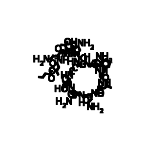 CCCC(=O)OC(C)CC(=O)N[C@@H](CCN)C(=O)N[C@H](C(=O)N[C@@H](CCN)C(=O)N[C@H]1CCNC(=O)[C@H]([C@H](C)O)NC(=O)[C@H](CCN)NC(=O)[C@H](CCN)NC(=O)[C@H](CC(C)C)NC(=O)[C@@H](Cc2ccccc2)NC(=O)[C@H](CCN)NC1)C(C)O